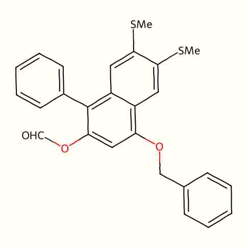 CSc1cc2c(OCc3ccccc3)cc(OC=O)c(-c3ccccc3)c2cc1SC